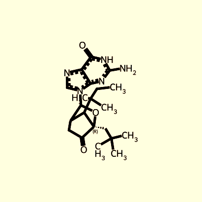 CCC(C)(C)C1C2CC(=O)[C@]1(CC(C)(C)C)OC2n1cnc2c(=O)[nH]c(N)nc21